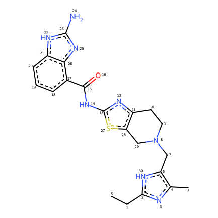 CCc1nc(C)c(CN2CCc3nc(NC(=O)c4cccc5[nH]c(N)nc45)sc3C2)[nH]1